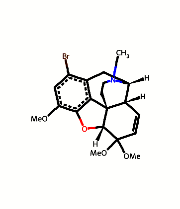 COc1cc(Br)c2c3c1O[C@H]1C(OC)(OC)C=C[C@H]4[C@@H](C2)N(C)CC[C@@]341